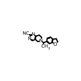 CC(c1ccc2c(c1)OCC2)N1CCc2nc(C#N)ncc2C1